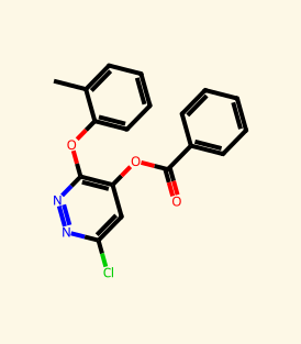 Cc1ccccc1Oc1nnc(Cl)cc1OC(=O)c1ccccc1